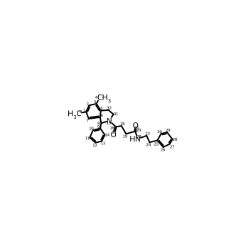 Cc1cc(C)c2c(c1)C(c1ccccc1)N(C(=O)CCC(=O)NCCc1ccccc1)CC2